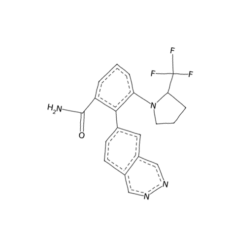 NC(=O)c1cccc(N2CCCC2C(F)(F)F)c1-c1ccc2cnncc2c1